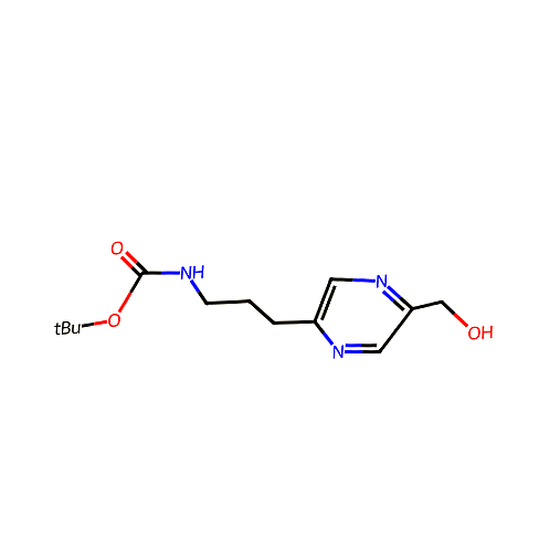 CC(C)(C)OC(=O)NCCCc1cnc(CO)cn1